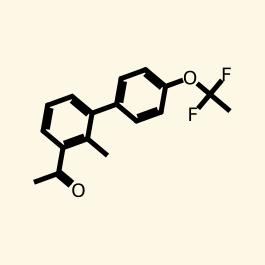 CC(=O)c1cccc(-c2ccc(OC(C)(F)F)cc2)c1C